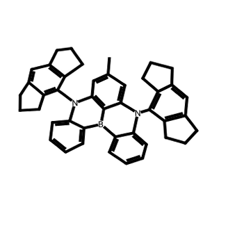 Cc1cc2c3c(c1)N(c1c4c(cc5c1CCC5)CCC4)c1ccccc1B3c1ccccc1N2c1c2c(cc3c1CCC3)CCC2